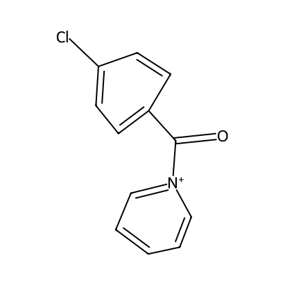 O=C(c1ccc(Cl)cc1)[n+]1ccccc1